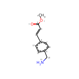 COC(=O)C=Cc1ccc(CN)cc1